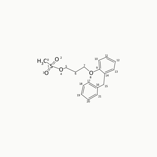 CS(=O)(=O)OCCCOc1ccccc1Cc1ccccc1